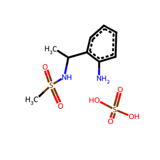 CC(NS(C)(=O)=O)c1ccccc1N.O=S(=O)(O)O